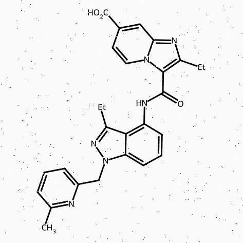 CCc1nc2cc(C(=O)O)ccn2c1C(=O)Nc1cccc2c1c(CC)nn2Cc1cccc(C)n1